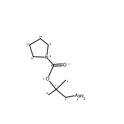 CC(C)(C[AsH2])OC(=O)N1CCCC1